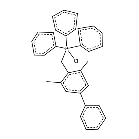 Cc1cc(-c2ccccc2)cc(C)c1CP(Cl)(c1ccccc1)(c1ccccc1)c1ccccc1